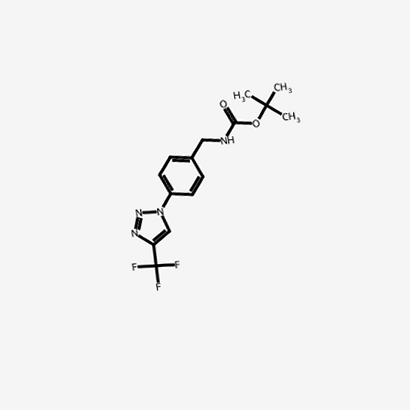 CC(C)(C)OC(=O)NCc1ccc(-n2cc(C(F)(F)F)nn2)cc1